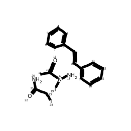 C(=Cc1ccccc1)c1ccccc1.CC(=O)N(N)I.NC(=O)CI